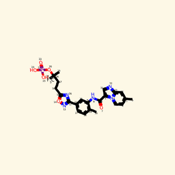 Cc1ccn2c(C(=O)Nc3cc(-c4noc(CCC(C)(OP(=O)(O)O)C(F)(F)F)n4)ccc3C)cnc2c1